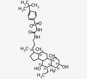 CC[C@@H]1[C@@H]2[C@@H](F)[C@H](O)CC[C@]2(C)C2CC[C@@]3(C)C(CCC3[C@H](C)CCNC(=O)NS(=O)(=O)c3ccc(C(C)(C)C)cc3)C2[C@@H]1O